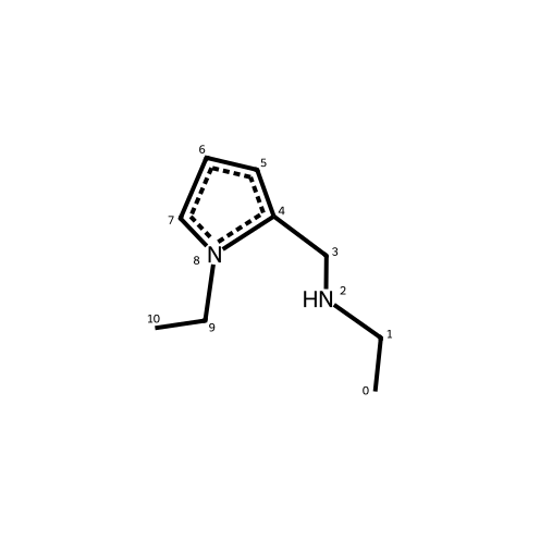 CCNCc1cccn1CC